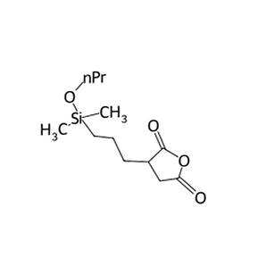 CCCO[Si](C)(C)CCCC1CC(=O)OC1=O